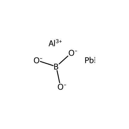 [Al+3].[O-]B([O-])[O-].[Pb]